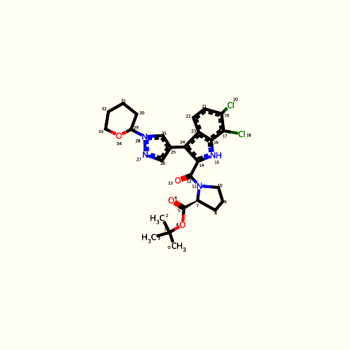 CC(C)(C)OC(=O)[C@@H]1CCCN1C(=O)c1[nH]c2c(Cl)c(Cl)ccc2c1-c1cnn(C2CCCCO2)c1